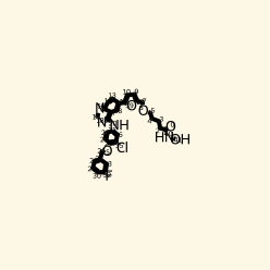 O=C(CCCCOCc1ccc(-c2ccc3ncnc(Nc4ccc(OCc5cccc(F)c5)c(Cl)c4)c3c2)o1)NO